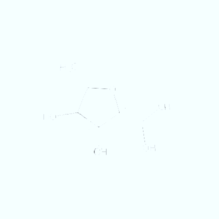 CC(O)[C@H]1O[C@@H](C)C(O)[C@H]1O